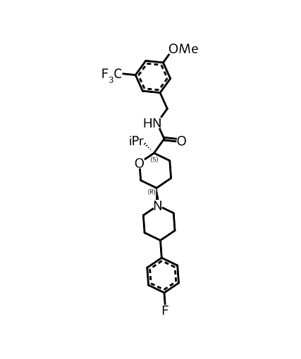 COc1cc(CNC(=O)[C@@]2(C(C)C)CC[C@@H](N3CCC(c4ccc(F)cc4)CC3)CO2)cc(C(F)(F)F)c1